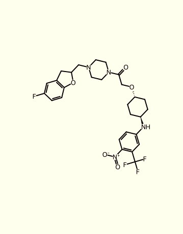 O=C(CO[C@H]1CC[C@H](Nc2ccc([N+](=O)[O-])c(C(F)(F)F)c2)CC1)N1CCN(CC2Cc3cc(F)ccc3O2)CC1